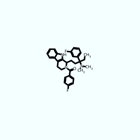 CCC(CCC1c2[nH]c3ccccc3c2CCN1C(=O)c1ccc(F)cc1)(c1cccc(F)c1)N(C)C